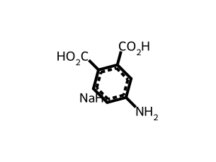 Nc1ccc(C(=O)O)c(C(=O)O)c1.[NaH]